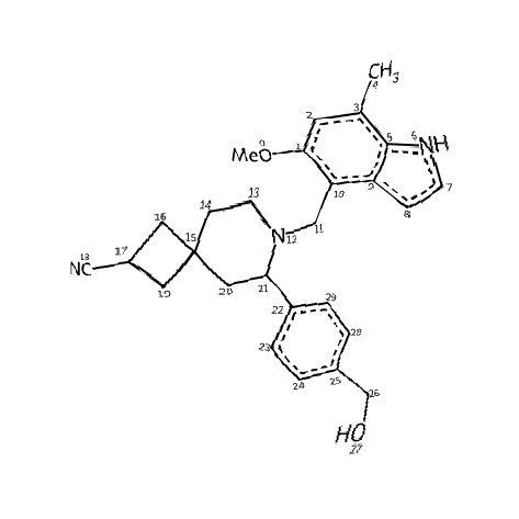 COc1cc(C)c2[nH]ccc2c1CN1CCC2(CC(C#N)C2)CC1c1ccc(CO)cc1